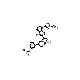 CCC(O)Nc1cncc(-c2cnc3[nH]nc(-c4nc5c(-c6ccc(C)s6)ccnc5[nH]4)c3c2)c1